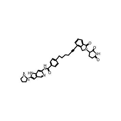 CN1CCC[C@@H]1c1cc2cnc(NC(=O)c3ccc(CCCCC#Cc4cccc5c4CN(C4CCC(=O)NC4=O)C5=O)cc3)cc2[nH]1